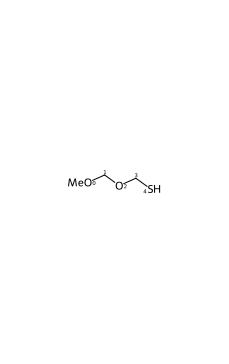 COCOCS